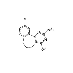 Nc1nc(O)c2c(n1)-c1cc(F)ccc1CCC2